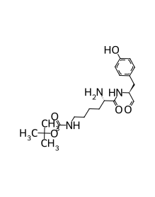 CC(C)(C)OC(=O)NCCCC[C@H](N)C(=O)N[C@H](C=O)Cc1ccc(O)cc1